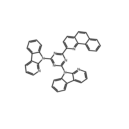 c1ccc2c(c1)ccc1ccc(-c3nc(-n4c5ccccc5c5cccnc54)nc(-n4c5ccccc5c5cccnc54)n3)nc12